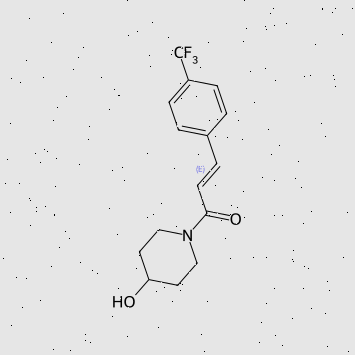 O=C(/C=C/c1ccc(C(F)(F)F)cc1)N1CCC(O)CC1